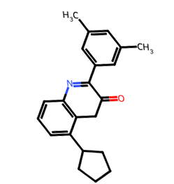 Cc1cc(C)cc(C2=Nc3cccc(C4CCCC4)c3CC2=O)c1